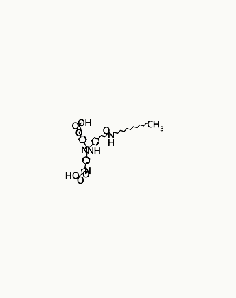 CCCCCCCCCCCCNC(=O)C=Cc1ccc(-c2[nH]c(-c3ccc(C4=NOC(C(=O)O)C4)cc3)nc2-c2ccc(OCC(=O)O)cc2)cc1